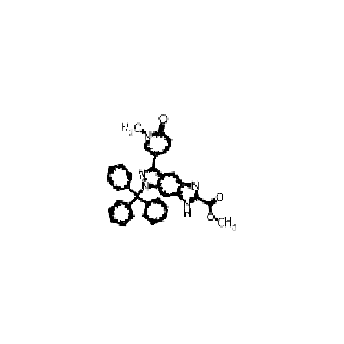 COC(=O)c1nc2cc3c(-c4ccc(=O)n(C)c4)nn(C(c4ccccc4)(c4ccccc4)c4ccccc4)c3cc2[nH]1